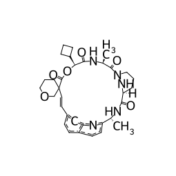 C[C@@H]1NC(=O)[C@H](C2CCC2)OC(=O)C2(/C=C/c3ccc4ccc(nc4c3)[C@@H](C)NC(=O)[C@@H]3CCCN(N3)C1=O)CCCOC2